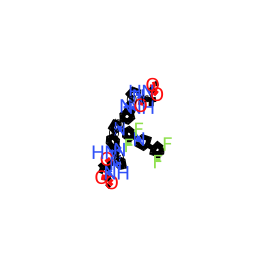 COC(=O)NC(C(=O)N1CCC[C@H]1c1nc2cc([C@H]3CC[C@H](c4ccc5[nH]c([C@@H]6CCCN6C(=O)[C@@H](NC(=O)OC)C(C)C)nc5c4)N3c3cc(F)c(N4CCC(c5cc(F)cc(F)c5)CC4)c(F)c3)ccc2[nH]1)C(C)C